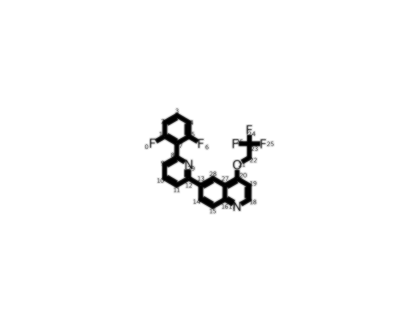 Fc1cccc(F)c1-c1cccc(-c2ccc3nccc(OCC(F)(F)F)c3c2)n1